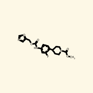 COC(=O)N1CCC(c2ccc(NC(=O)OCc3cnco3)cc2F)CC1